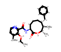 COc1ccnc(C(=O)N[C@H]2CCC[C@H](Cc3ccccc3)[C@@H](OCC(C)C)[C@H](C)OC2=O)c1OCOC(C)=O